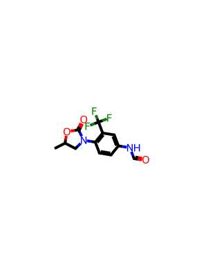 CC1CN(c2ccc(NC=O)cc2C(F)(F)F)C(=O)O1